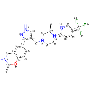 C=C1NCc2cc(-c3n[nH]cc3CN3CCN(c4ccc(C(F)(F)F)cn4)[C@H](C)C3)ccc2O1